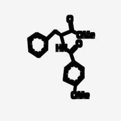 COC(=O)[C@H](Cc1ccccc1)NC(=O)c1ccc(OC)cc1